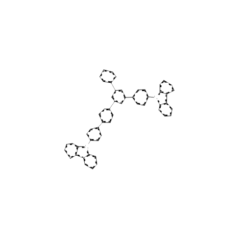 c1ccc(-c2cc(-c3ccc(-c4ccc(-n5c6ccccc6c6ccccc65)cc4)cc3)cc(-c3ccc(-n4c5ccccc5c5ccccc54)cc3)c2)cc1